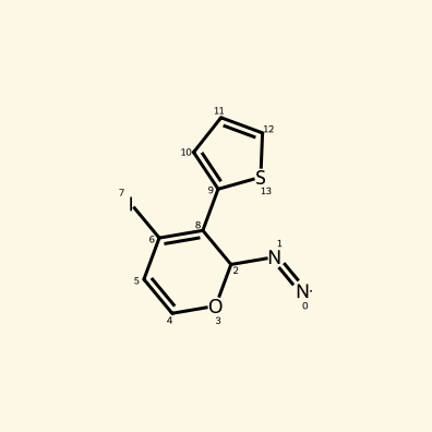 [N]=NC1OC=CC(I)=C1c1cccs1